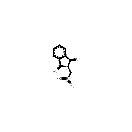 O=C1c2ccccc2C(=O)N1C[SH](=O)=O